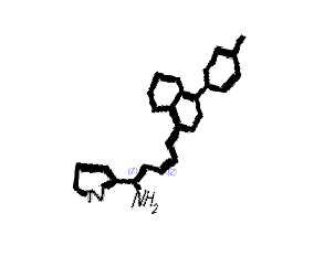 CC1C=CC(C2=C3C=CCCC3=C(C/C=C\C=C(/N)C3=NCC=C3)CC2)CC1